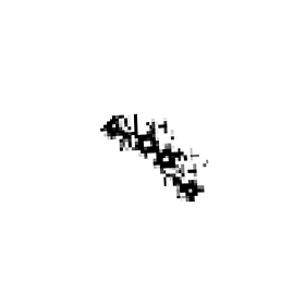 Nc1cc(-c2ccc(NC(=O)c3ccco3)c(N)c2)ccc1NC(=O)c1ccco1